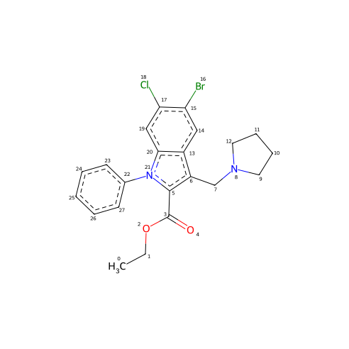 CCOC(=O)c1c(CN2CCCC2)c2cc(Br)c(Cl)cc2n1-c1ccccc1